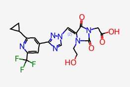 O=C(O)CN1C(=O)/C(=C/n2cnc(-c3cc(C4CC4)nc(C(F)(F)F)c3)n2)N(CCO)C1=O